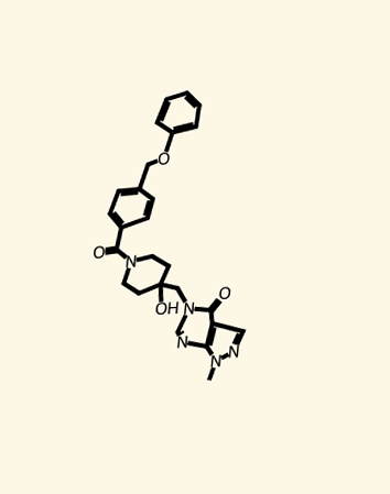 Cn1ncc2c(=O)n(CC3(O)CCN(C(=O)c4ccc(COc5ccccc5)cc4)CC3)cnc21